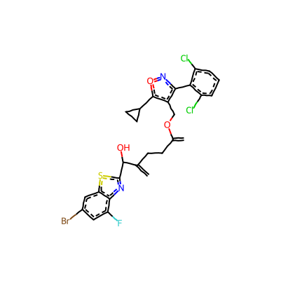 C=C(CCC(=C)C(O)c1nc2c(F)cc(Br)cc2s1)OCc1c(-c2c(Cl)cccc2Cl)noc1C1CC1